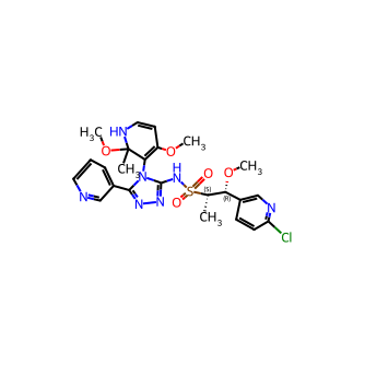 COC1=C(n2c(NS(=O)(=O)[C@@H](C)[C@H](OC)c3ccc(Cl)nc3)nnc2-c2cccnc2)C(C)(OC)NC=C1